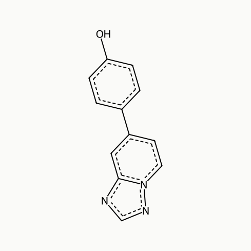 Oc1ccc(-c2ccn3ncnc3c2)cc1